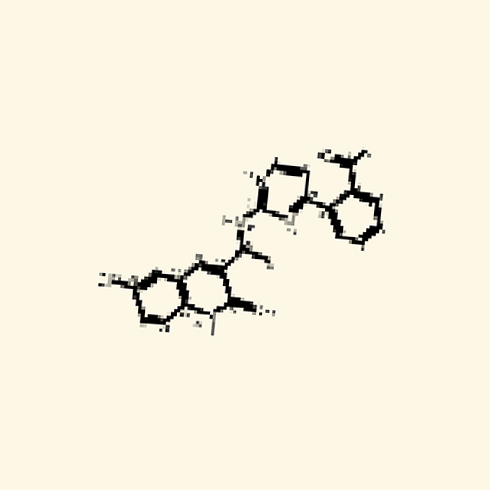 CC(=O)c1ccccc1-c1ccnc(NC(C)c2cc3cc(Cl)ccc3[nH]c2=O)n1